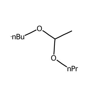 CCC[CH]OC(C)OCCC